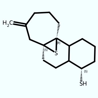 C=C1CCC[C@]23S[C@@]2(CCC2C3CCC[C@@H]2S)C1